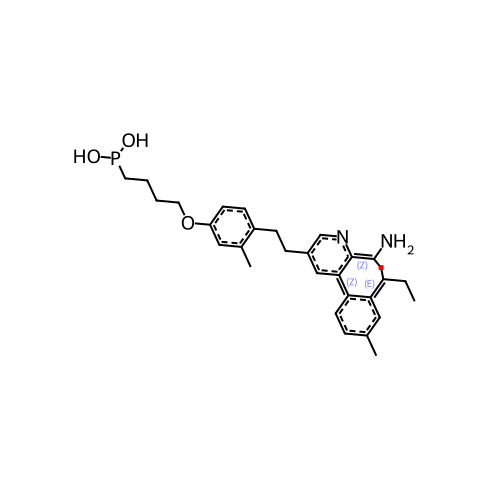 CC\C(C)=c1/cc(C)cc/c1=c1\cc(CCc2ccc(OCCCCP(O)O)cc2C)cn\c1=C(\C)N